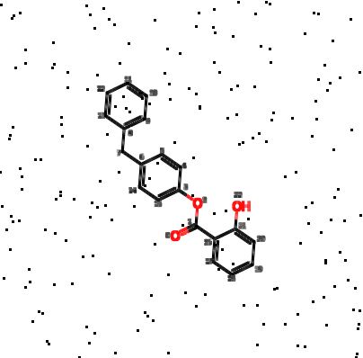 O=C(Oc1ccc(Cc2ccccc2)cc1)c1ccccc1O